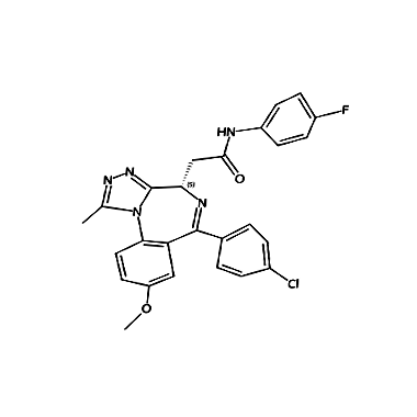 COc1ccc2c(c1)C(c1ccc(Cl)cc1)=N[C@@H](CC(=O)Nc1ccc(F)cc1)c1nnc(C)n1-2